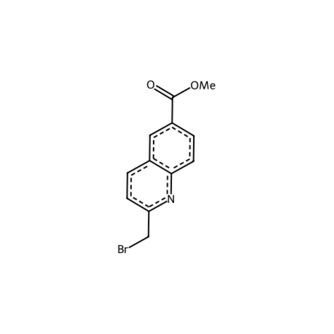 COC(=O)c1ccc2nc(CBr)ccc2c1